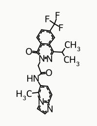 Cc1c(NC(=O)Cn2nc(C(C)C)c3cc(C(F)(F)F)ccc3c2=O)ccc2nccn12